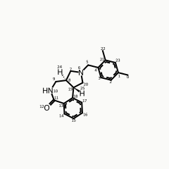 Cc1ccc(CN2C[C@@H]3CNC(=O)c4ccccc4[C@H]3C2)c(C)c1